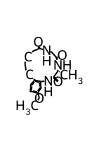 COc1ccc2c(c1)NC(=O)[C@@H](C)NC(=O)CNC(=O)CCCCC2